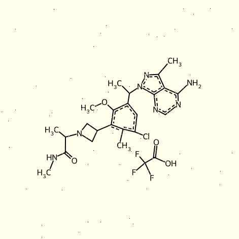 CNC(=O)C(C)N1CC(c2c(C)c(Cl)cc(C(C)n3nc(C)c4c(N)ncnc43)c2OC)C1.O=C(O)C(F)(F)F